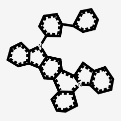 c1ccc(-c2cccc(-n3c4ccccc4c4cc5c6ccccc6n6c7ccccc7cc6c5cc43)c2)cc1